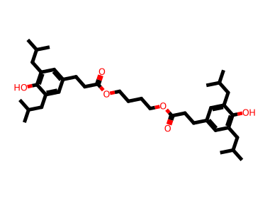 CC(C)Cc1cc(CCC(=O)OCCCCOC(=O)CCc2cc(CC(C)C)c(O)c(CC(C)C)c2)cc(CC(C)C)c1O